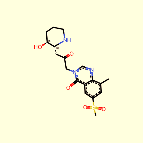 Cc1cc(S(C)(=O)=O)cc2c(=O)n(CC(=O)C[C@H]3NCCC[C@@H]3O)cnc12